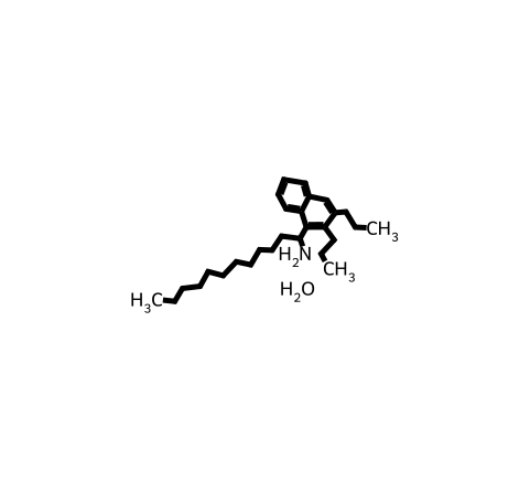 CCCCCCCCCCCC(N)c1c(CCC)c(CCC)cc2ccccc12.O